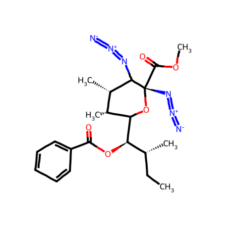 CC[C@@H](C)[C@@H](OC(=O)c1ccccc1)C1O[C@@](N=[N+]=[N-])(C(=O)OC)C(N=[N+]=[N-])[C@@H](C)[C@H]1C